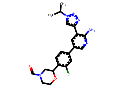 CC(C)n1cc(-c2cc(-c3ccc(C4CN(C=O)CCO4)c(Cl)c3)cnc2N)nn1